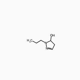 CCCN1N=CCC1O